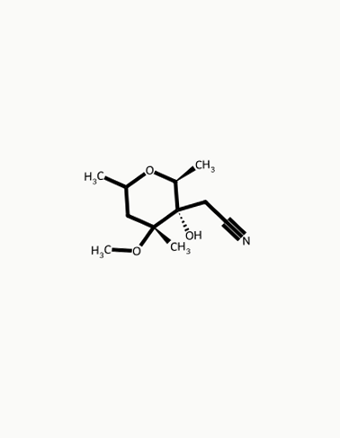 CO[C@]1(C)CC(C)O[C@@H](C)[C@@]1(O)CC#N